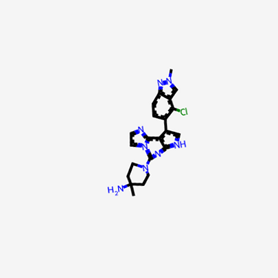 Cn1cc2c(Cl)c(-c3c[nH]c4nc(N5CCC(C)(N)CC5)n5ccnc5c34)ccc2n1